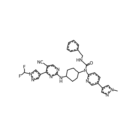 Cn1cc(-c2ccc(N(C(=O)NCc3ccccc3)C3CCC(Nc4ncc(C#N)c(-c5cnn(C(F)F)c5)n4)CC3)nc2)cn1